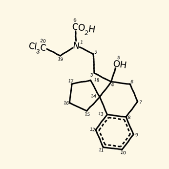 O=C(O)N(CCC1(O)CCc2ccccc2C12CCCC2)CC(Cl)(Cl)Cl